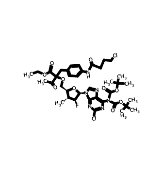 CCOC(=O)C(Cc1ccc(NC(=O)CCCCl)cc1)(OC[C@H]1O[C@@H](n2cnc3c(N(C(=O)OC(C)(C)C)C(=O)OC(C)(C)C)nc(Cl)nc32)[C@@H](F)[C@@H]1C)C(C)=O